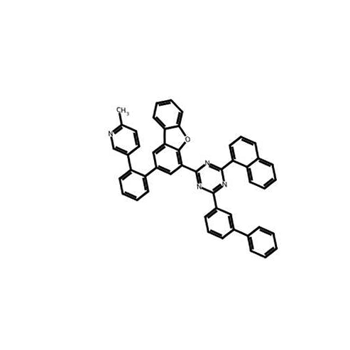 Cc1ccc(-c2ccccc2-c2cc(-c3nc(-c4cccc(-c5ccccc5)c4)nc(-c4cccc5ccccc45)n3)c3oc4ccccc4c3c2)cn1